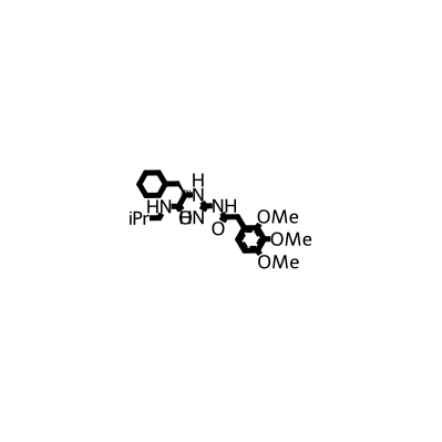 COc1ccc(CC(=O)NC(=N)N[C@H](CC2CCCCC2)C(=O)NCC(C)C)c(OC)c1OC